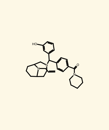 C=CCN1C2CCCC1CN(C(c1ccc(C(=O)N3CCCCC3)cc1)c1cccc(O)c1)CC2